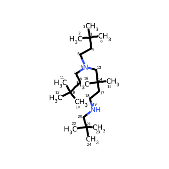 CC(C)(C)CCN(CCC(C)(C)C)CC(C)(C)CCNCC(C)(C)C